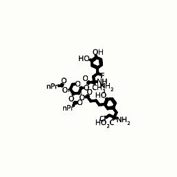 CCCC(=O)O[C@H]1[C@H](OC(=O)CCC)COC(OC(=O)C(C)(CC(F)c2ccc(O)c(O)c2)NN)[C@@H]1OC(=O)CCCc1cc(CC(N)(CCl)C(=O)O)ccc1O